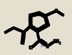 C=C(CC)c1ccc(OC)cc1/C(Cl)=N\N